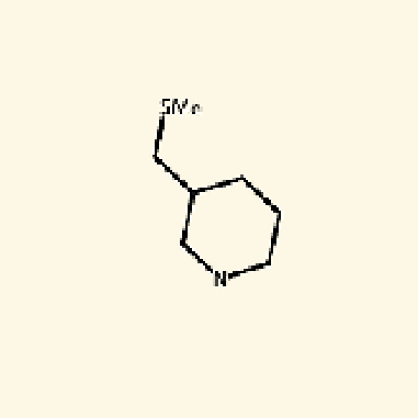 CSCC1CCC[N]C1